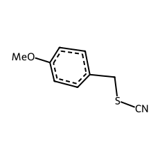 COc1ccc(CSC#N)cc1